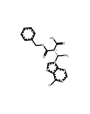 NC([C@@H](C(=O)O)C(=O)OCc1ccccc1)n1cnc2c(Cl)ncnc21